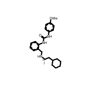 COc1ccc(NC(=O)Nc2ccccc2CN[C@@H](C)CC2CCCCC2)cc1